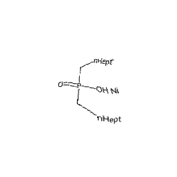 CCCCCCCCP(=O)(O)CCCCCCCC.[Ni]